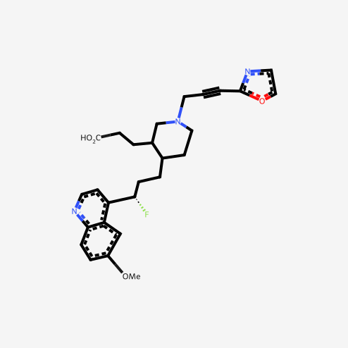 COc1ccc2nccc([C@@H](F)CCC3CCN(CC#Cc4ncco4)CC3CCC(=O)O)c2c1